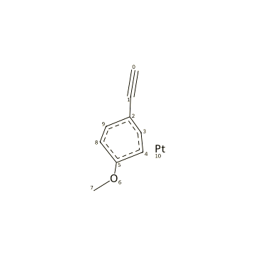 C#Cc1ccc(OC)cc1.[Pt]